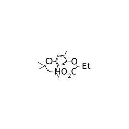 CCC(Oc1cc2c(cc1C)OC(C)(C)CC2C)C(=O)O